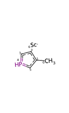 Cc1cc[pH]c1.[Sc]